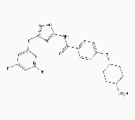 O=C(Nc1nc(Cc2cc(F)cc(F)c2)no1)c1ccc(O[C@H]2CC[C@@H](C(=O)O)CC2)cc1